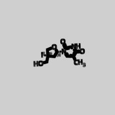 Cc1cn([C@@H]2C[C@@](F)(CO)CO2)c(=O)[nH]c1=O